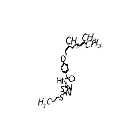 CCCSc1nnc(NC(=O)c2ccc(OCC=C(C)CCC=C(C)C)cc2)s1